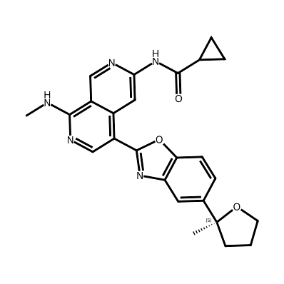 CNc1ncc(-c2nc3cc([C@]4(C)CCCO4)ccc3o2)c2cc(NC(=O)C3CC3)ncc12